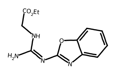 CCOC(=O)CNC(N)=Nc1nc2ccccc2o1